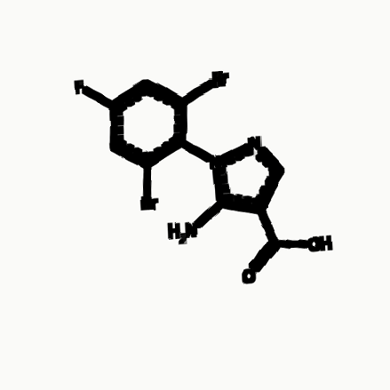 Nc1c(C(=O)O)cnn1-c1c(Br)cc(F)cc1Br